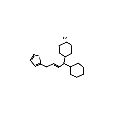 C(=CP(C1CCCCC1)C1CCCCC1)Cc1cccs1.[Pd]